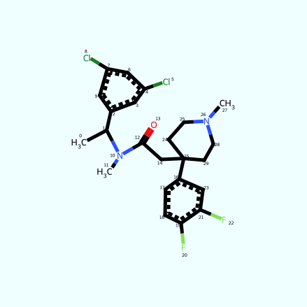 CC(c1cc(Cl)cc(Cl)c1)N(C)C(=O)CC1(c2ccc(F)c(F)c2)CCN(C)CC1